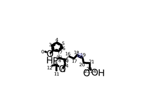 COc1ccccc1[C@H]1PC(C)(C)OC[C@H]1CC/C=C\CCC(=O)O